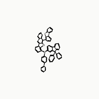 c1ccc(-c2ccc(N(c3ccc4c(c3)C(c3ccccc3)(c3ccccc3)c3ccccc3-4)c3cccc4c3oc3c(-c5cccc6c5oc5ccccc56)c5ccccc5cc34)cc2)cc1